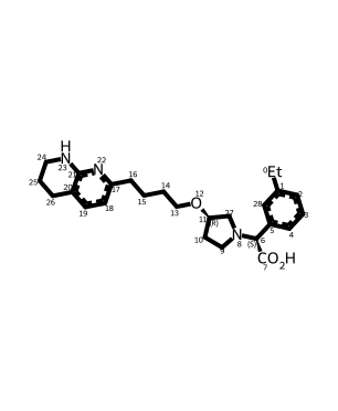 CCc1cccc([C@@H](C(=O)O)N2CC[C@@H](OCCCCc3ccc4c(n3)NCCC4)C2)c1